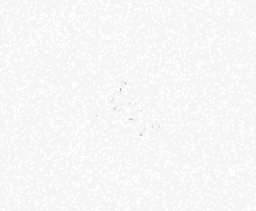 CCOC(=O)c1coc2c(O[Si](C)(C)C(C)(C)C)c3ccccc3c(C)c12